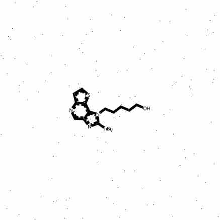 CCCCc1nc2cnc3ccsc3c2n1CCCCCO